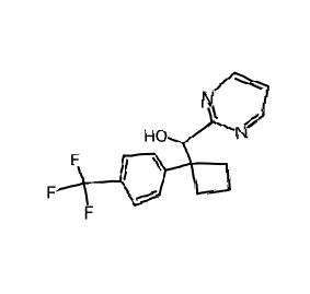 OC(c1ncccn1)C1(c2ccc(C(F)(F)F)cc2)CCC1